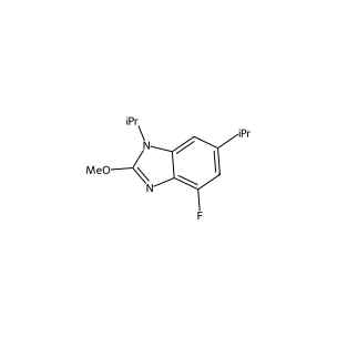 COc1nc2c(F)cc(C(C)C)cc2n1C(C)C